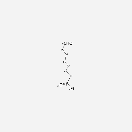 CCC(=O)CCCCCCC=O